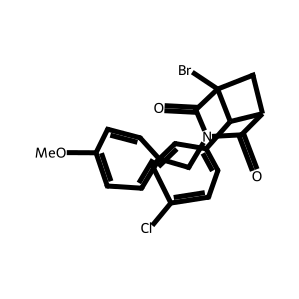 COc1ccc(CN2C(=O)C3CC(Br)(C2=O)C3c2ccc(Cl)cc2)cc1